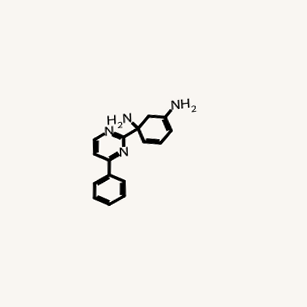 NC1=CC=CC(N)(c2nccc(-c3ccccc3)n2)C1